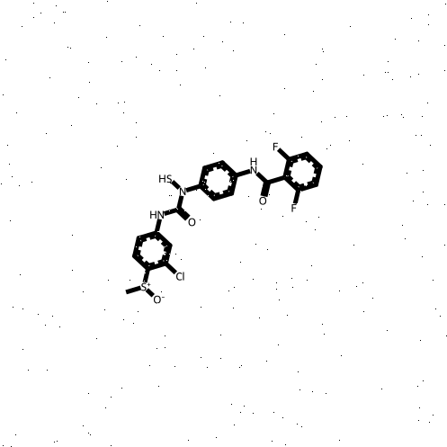 C[S+]([O-])c1ccc(NC(=O)N(S)c2ccc(NC(=O)c3c(F)cccc3F)cc2)cc1Cl